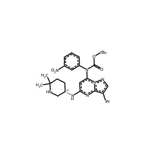 CC(C)c1cnn2c(N(C(=O)OC(C)(C)C)c3cccc([N+](=O)[O-])c3)cc(N[C@H]3CCC(C)(C)NC3)nc12